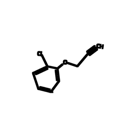 C#CCOc1c[c]ccc1Cl